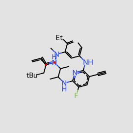 C#Cc1cc(F)c(NC(C)C(C)NC(=C)CC(C)(C)C)nc1NC(=C/C)/C=C(\C(=C)CC)N(C)/N=C\C=C